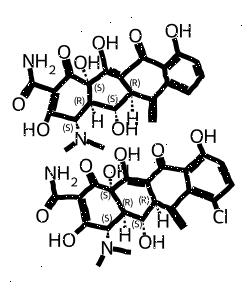 C=C1c2c(Cl)ccc(O)c2C(=O)C2=C(O)[C@]3(O)C(=O)C(C(N)=O)=C(O)[C@@H](N(C)C)[C@@H]3[C@@H](O)[C@H]12.C=C1c2cccc(O)c2C(=O)C2=C(O)[C@]3(O)C(=O)C(C(N)=O)=C(O)[C@@H](N(C)C)[C@@H]3[C@@H](O)[C@H]12